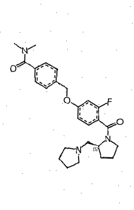 CN(C)C(=O)c1ccc(COc2ccc(C(=O)N3CCC[C@H]3CN3CCCC3)c(F)c2)cc1